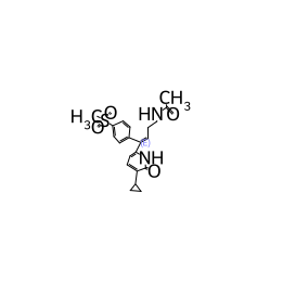 CC(=O)NCC/C=C(\c1ccc(S(C)(=O)=O)cc1)c1ccc(C2CC2)c(=O)[nH]1